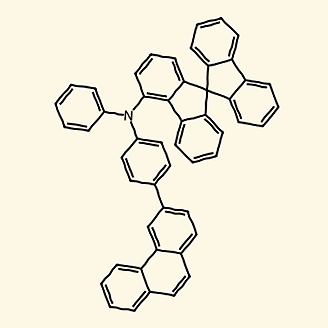 c1ccc(N(c2ccc(-c3ccc4ccc5ccccc5c4c3)cc2)c2cccc3c2-c2ccccc2C32c3ccccc3-c3ccccc32)cc1